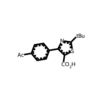 CC(=O)c1ccc(-c2nc(C(C)(C)C)sc2C(=O)O)cc1